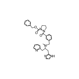 CN(Cc1cccc(C(=O)N2CCCN2C(=O)OCc2ccccc2)c1)C(Cc1ccccn1)Cc1ncc[nH]1